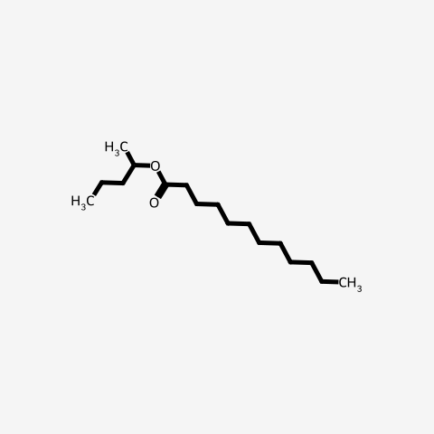 CCCCCCCCCCCC(=O)OC(C)CCC